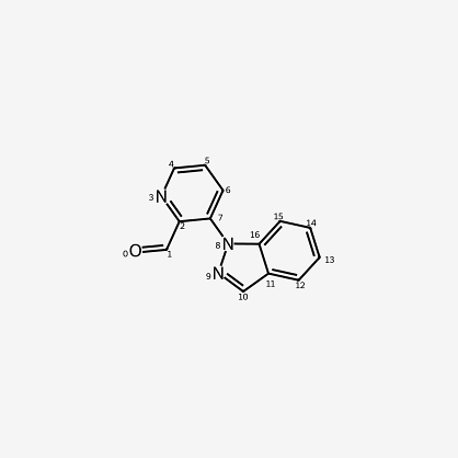 O=Cc1ncccc1-n1ncc2ccccc21